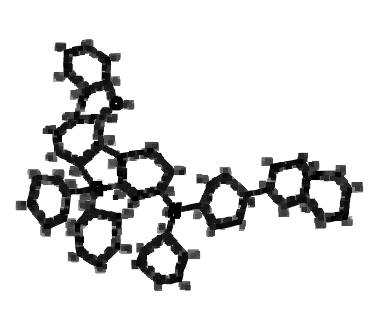 c1ccc(N(c2ccc(-c3ccc4ccccc4c3)cc2)c2ccc3c(c2)[Si](c2ccccc2)(c2ccccc2)c2ccc4c(oc5ccccc54)c2-3)cc1